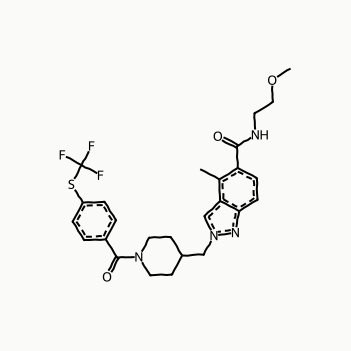 COCCNC(=O)c1ccc2nn(CC3CCN(C(=O)c4ccc(SC(F)(F)F)cc4)CC3)cc2c1C